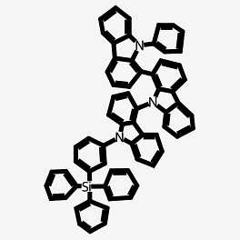 c1ccc(-n2c3ccccc3c3cccc(-c4cccc5c6ccccc6n(-c6cccc7c6c6ccccc6n7-c6cccc([Si](c7ccccc7)(c7ccccc7)c7ccccc7)c6)c45)c32)cc1